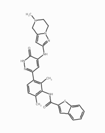 Cc1ccc(-c2cc(Nc3cc4n(n3)CCN(C)C4)c(=O)[nH]n2)c(C)c1NC(=O)c1cc2ccccc2s1